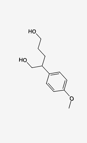 COc1ccc(C(CO)CCCO)cc1